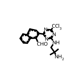 CC(C)(N)CNc1nc(-c2ccc3ccccc3c2C=O)nc(C(Cl)(Cl)Cl)n1